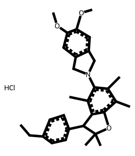 CCc1ccc(C2c3c(C)c(N4Cc5cc(OC)c(OC)cc5C4)c(C)c(C)c3OC2(C)C)cc1.Cl